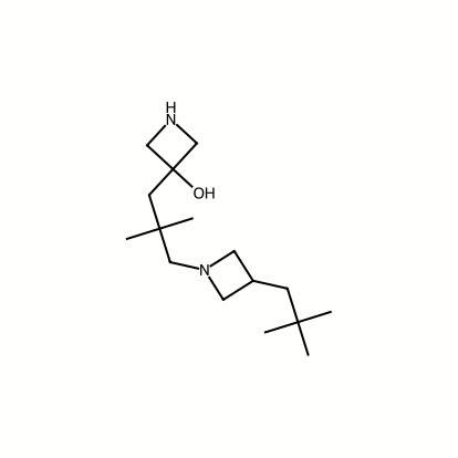 CC(C)(C)CC1CN(CC(C)(C)CC2(O)CNC2)C1